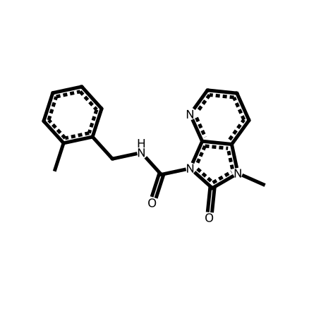 Cc1ccccc1CNC(=O)n1c(=O)n(C)c2cccnc21